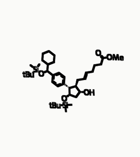 COC(=O)CCCC=CC[C@@H]1[C@@H](c2ccc(C(O[Si](C)(C)C(C)(C)C)C3CCCCC3)cc2)[C@H](O[Si](C)(C)C(C)(C)C)C[C@@H]1O